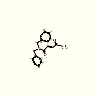 NC(=O)C=CC(=O)N(Cc1ccccc1)Cc1ccccc1